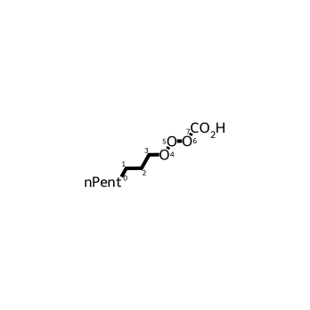 CCCCCCCCOOOC(=O)O